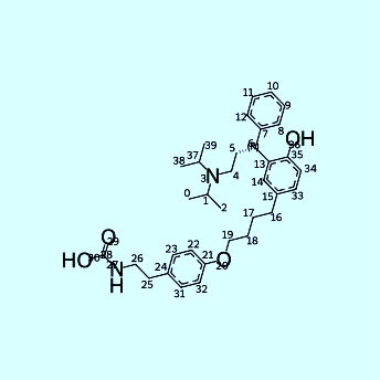 CC(C)N(CC[C@H](c1ccccc1)c1cc(CCCCOc2ccc(CCNC(=O)O)cc2)ccc1O)C(C)C